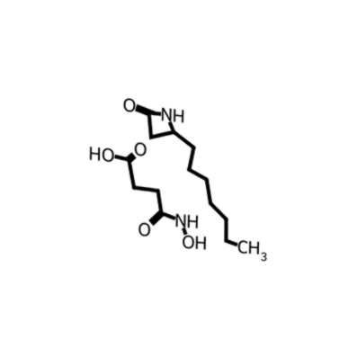 CCCCCCCC1CC(=O)N1.O=C(O)CCC(=O)NO